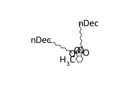 CCCCCCCCCCCCCCCCCCOC(=O)C1CCCC(C)C1C(=O)OCCCCCCCCCCCCCCCCCC